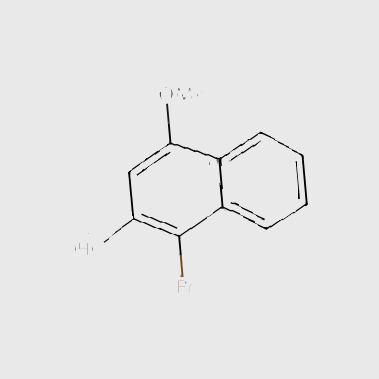 COc1cc(C=O)c(Br)c2ccccc12